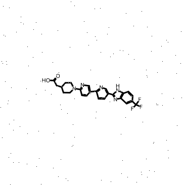 O=C(O)CC1CCN(c2ccc(-c3ccc(-c4nc5cc(C(F)(F)F)ccc5[nH]4)cn3)cn2)CC1